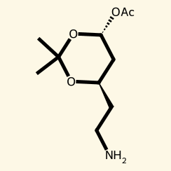 CC(=O)O[C@@H]1C[C@@H](CCN)OC(C)(C)O1